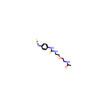 CC(=O)NCCOCCNC(=S)Nc1ccc(N=C=S)cc1